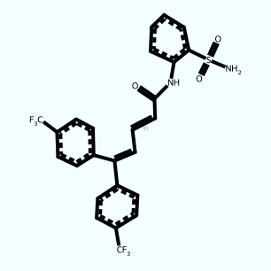 NS(=O)(=O)c1ccccc1NC(=O)/C=C/C=C(c1ccc(C(F)(F)F)cc1)c1ccc(C(F)(F)F)cc1